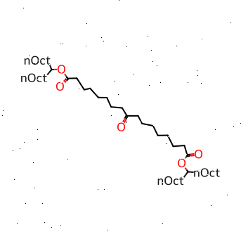 CCCCCCCCC(CCCCCCCC)OC(=O)CCCCCCCC(=O)CCCCCCCC(=O)OC(CCCCCCCC)CCCCCCCC